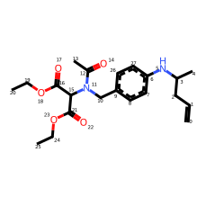 C=CCC(C)Nc1ccc(CN(C(C)=O)C(C(=O)OCC)C(=O)OCC)cc1